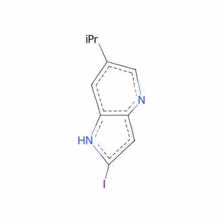 CC(C)c1cnc2cc(I)[nH]c2c1